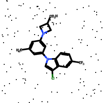 Cc1cc(N2CC(C(=O)O)C2)cc(-n2cc(Cl)c3cc(C(F)(F)F)ccc32)c1